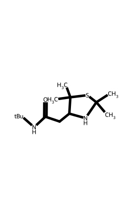 CC(C)(C)NC(=O)CC1NC(C)(C)SC1(C)C